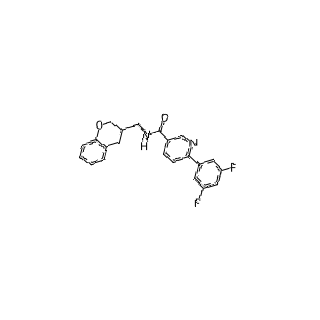 O=C(NCC1COc2ccccc2C1)c1ccc(-c2cc(F)cc(F)c2)nc1